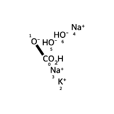 O=C([O-])O.[K+].[Na+].[Na+].[OH-].[OH-]